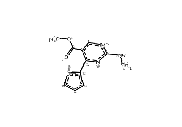 COC(=O)c1cnc(NN)nc1-c1cccs1